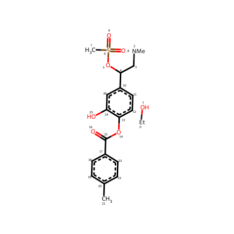 CCO.CNCC(OS(C)(=O)=O)c1ccc(OC(=O)c2ccc(C)cc2)c(O)c1